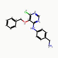 NCc1ccc(Nc2ncnc(Cl)c2OCc2ccccc2)cc1